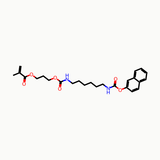 C=C(C)C(=O)OCCCOC(=O)NCCCCCCNC(=O)Oc1ccc2ccccc2c1